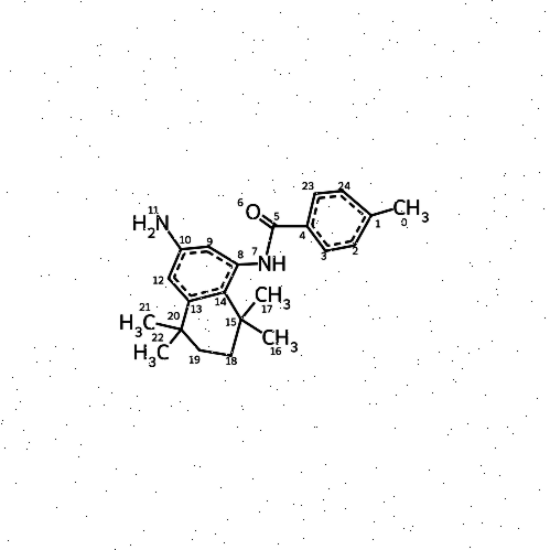 Cc1ccc(C(=O)Nc2cc(N)cc3c2C(C)(C)CCC3(C)C)cc1